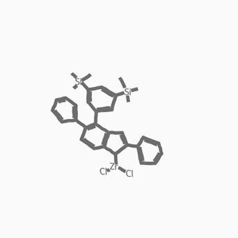 C[Si](C)(C)c1cc(-c2c(-c3ccccc3)ccc3c2C=C(c2ccccc2)[CH]3[Zr]([Cl])[Cl])cc([Si](C)(C)C)c1